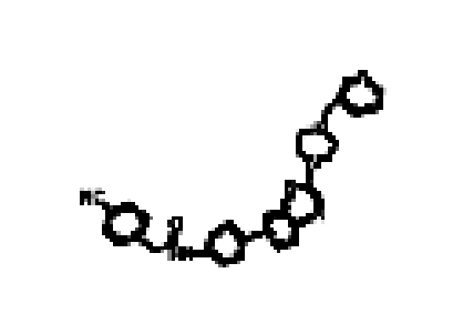 N#Cc1ccc(CC(=O)Nc2ccc(-c3ccc4ncc(N5CCN(Cc6cccnc6)CC5)nc4c3)cc2)cc1